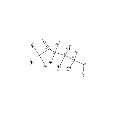 [2H]C([2H])([2H])C(=O)C([2H])([2H])C([2H])([2H])C([2H])([2H])CCl